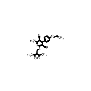 C=CCOc1ccc(-c2c(C#N)c(N)nc(SCc3c(C)noc3C)c2C#N)cc1